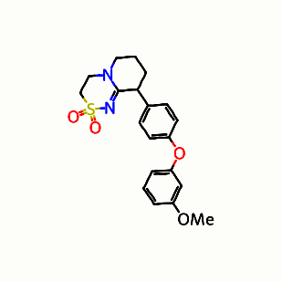 COc1cccc(Oc2ccc(C3CCCN4CCS(=O)(=O)N=C34)cc2)c1